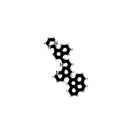 c1cnc(-c2ccc(-c3ccc4cc(-c5cc6cccc7ccc8cccc5c8c76)c5cccnc5c4n3)c3ccccc23)nc1